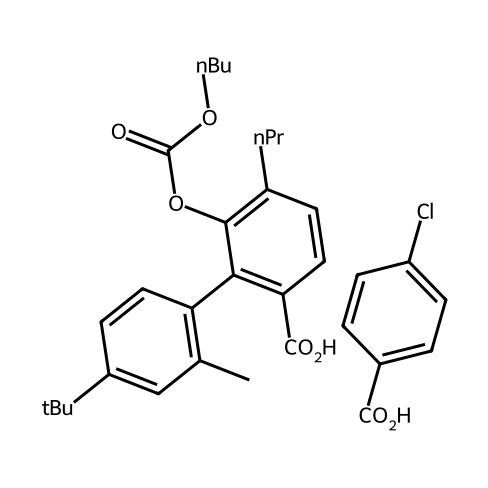 CCCCOC(=O)Oc1c(CCC)ccc(C(=O)O)c1-c1ccc(C(C)(C)C)cc1C.O=C(O)c1ccc(Cl)cc1